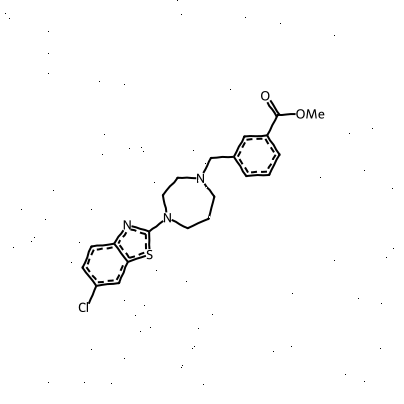 COC(=O)c1cccc(CN2CCCN(c3nc4ccc(Cl)cc4s3)CC2)c1